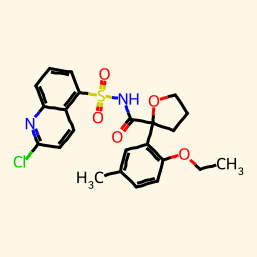 CCOc1ccc(C)cc1C1(C(=O)NS(=O)(=O)c2cccc3nc(Cl)ccc23)CCCO1